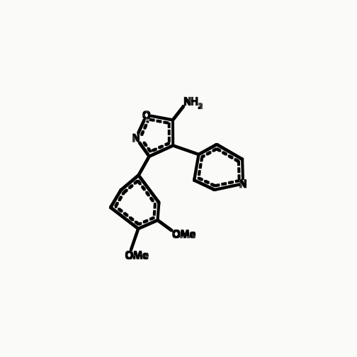 COc1ccc(-c2noc(N)c2-c2ccncc2)cc1OC